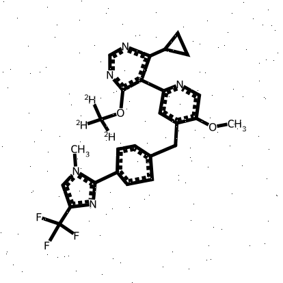 [2H]C([2H])([2H])Oc1ncnc(C2CC2)c1-c1cc(Cc2ccc(-c3nc(C(F)(F)F)cn3C)cc2)c(OC)cn1